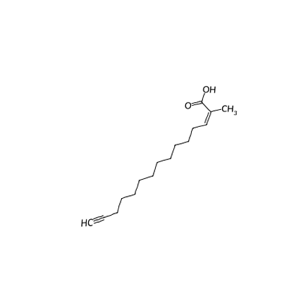 C#CCCCCCCCCCCC=C(C)C(=O)O